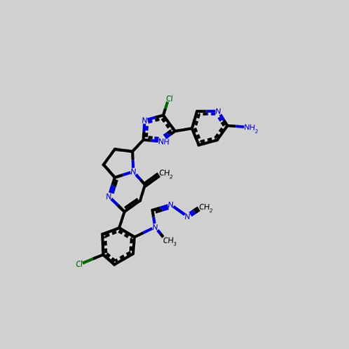 C=N/N=C\N(C)c1ccc(Cl)cc1C1=CC(=C)N2C(=N1)CCC2c1nc(Cl)c(-c2ccc(N)nc2)[nH]1